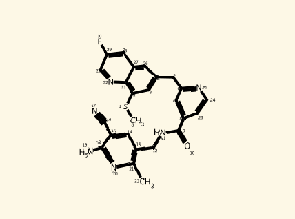 CSc1cc(Cc2cc(C(=O)NCc3cc(C#N)c(N)nc3C)ccn2)cc2cc(F)cnc12